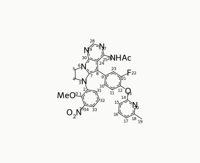 COc1c(N2CCn3c2c(-c2ccc(Oc4cccc(C)n4)c(F)c2)c2c(NC(C)=O)ncnc23)cccc1[N+](=O)[O-]